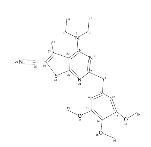 CCN(CC)c1nc(Cc2cc(OC)c(OC)c(OC)c2)nc2sc(C#N)c(C)c12